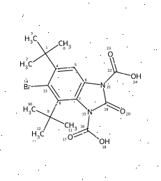 CC(C)(C)c1cc2c(c(C(C)(C)C)c1Br)n(C(=O)O)c(=O)n2C(=O)O